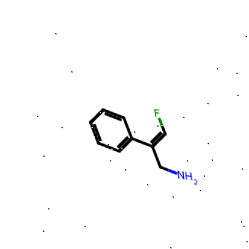 NC/C(=C/F)c1ccccc1